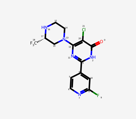 O=c1[nH]c(-c2ccnc(F)c2)nc(N2CCN[C@@H](C(F)(F)F)C2)c1Cl